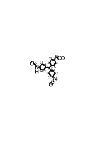 O=C=Nc1ccc(C(c2ccc(N=C=O)cc2)c2ccc(NC=O)cc2)cc1